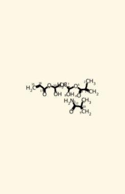 C=C(C)C(=O)OC(C)O.C=C(C)C(N)=O.C=CC(=O)OC(C)O